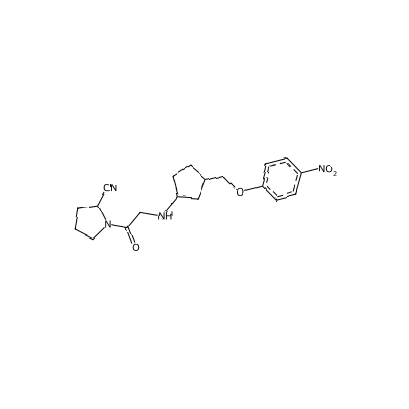 N#CC1CCCN1C(=O)CNC1CCC(COc2ccc([N+](=O)[O-])cc2)C1